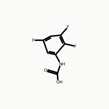 O=C(O)Nc1cc(F)cc(F)c1F